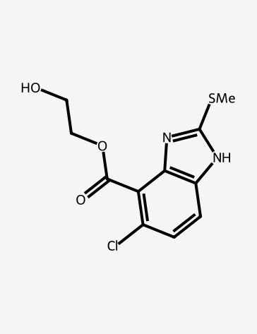 CSc1nc2c(C(=O)OCCO)c(Cl)ccc2[nH]1